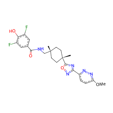 COc1ccc(-c2noc([C@]3(C)CC[C@](C)(CNC(=O)c4cc(F)c(O)c(F)c4)CC3)n2)nn1